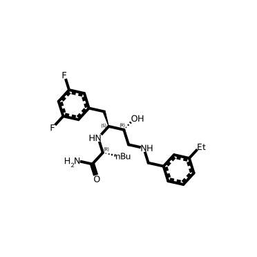 CCCC[C@@H](N[C@@H](Cc1cc(F)cc(F)c1)[C@H](O)CNCc1cccc(CC)c1)C(N)=O